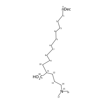 CCCCCCCCCCCCCCCCCCCCC(CCCN(C)C)C(=O)O